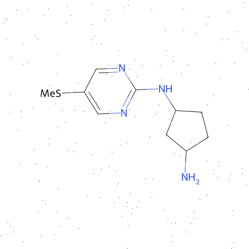 CSc1cnc(NC2CCC(N)C2)nc1